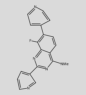 CNc1nc(-c2cccnc2)nc2c(F)c(-c3ccncc3)ccc12